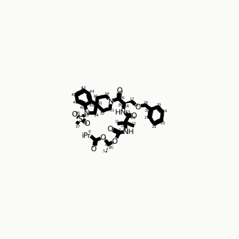 CC(C)C(=O)O[C@@H](C)OC(=O)NC(C)(C)C(=O)N[C@H](COCc1ccccc1)C(=O)N1CCC2(CC1)CN(S(C)(=O)=O)c1ccccc12